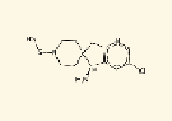 N[C@@H]1c2cc(Cl)cnc2CC12CCN(SS)CC2